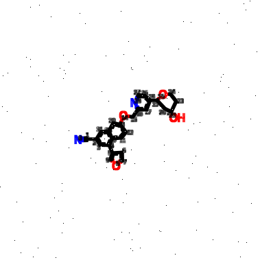 N#Cc1cc(-c2ccoc2)c2ccc(OCc3cc(C4CC(O)CCO4)ccn3)cc2c1